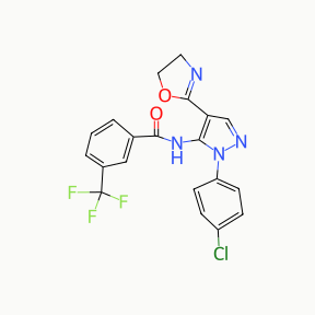 O=C(Nc1c(C2=NCCO2)cnn1-c1ccc(Cl)cc1)c1cccc(C(F)(F)F)c1